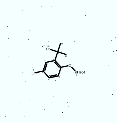 CCCCCCCOc1ccc(Cl)cc1C(C)(C)CC